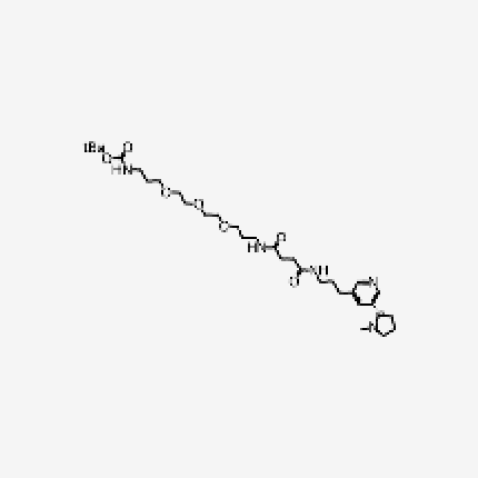 CN1CCC[C@H]1c1cncc(CCCNC(=O)CCC(=O)NCCCOCCOCCOCCCNC(=O)OC(C)(C)C)c1